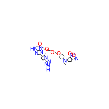 CCN(c1ccc(C#N)c([N+](=O)[O-])c1)C1CCC(OCCOCCOCCN2C(=O)CNc3ncc(-c4ccc(-c5nc[nH]n5)nc4C)nc32)CC1